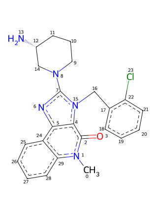 Cn1c(=O)c2c(nc(N3CCC[C@@H](N)C3)n2Cc2ccccc2Cl)c2ccccc21